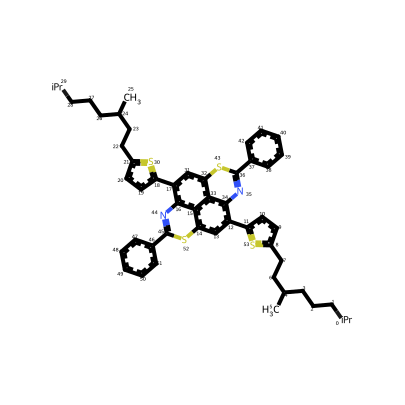 CC(C)CCCC(C)CCc1ccc(-c2cc3c4c(c(-c5ccc(CCC(C)CCCC(C)C)s5)cc5c4c2N=C(c2ccccc2)S5)N=C(c2ccccc2)S3)s1